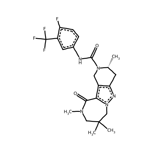 C[C@@H]1Cc2nn3c(c2CN1C(=O)Nc1ccc(F)c(C(F)(F)F)c1)C(=O)N(C)CC(C)(C)C3